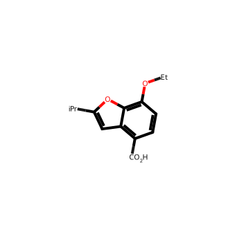 CCOc1ccc(C(=O)O)c2cc(C(C)C)oc12